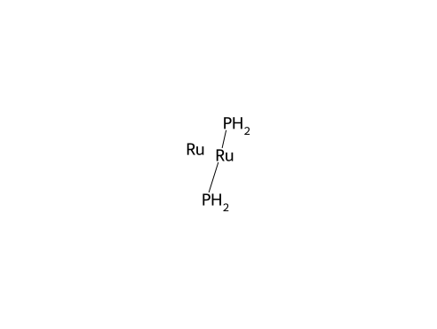 [PH2][Ru][PH2].[Ru]